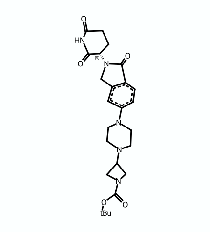 CC(C)(C)OC(=O)N1CC(N2CCN(c3ccc4c(c3)CN([C@H]3CCC(=O)NC3=O)C4=O)CC2)C1